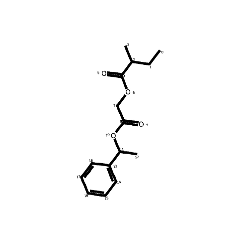 CCC(C)C(=O)OCC(=O)OC(C)c1ccccc1